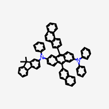 CC1(C)c2ccccc2-c2ccc(N(c3ccccc3)c3ccc4c(-c5ccc6ccccc6c5)c5cc(N(c6ccccc6)c6ccccc6)ccc5c(-c5ccc6c(ccc7ccccc76)c5)c4c3)cc21